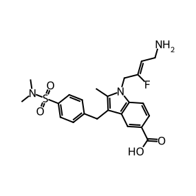 Cc1c(Cc2ccc(S(=O)(=O)N(C)C)cc2)c2cc(C(=O)O)ccc2n1CC(F)=CCN